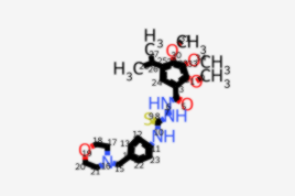 COc1c(C(=O)NNC(=S)Nc2ccc(CN3CCOCC3)cc2)cc(C(C)C)c(OC)c1OC